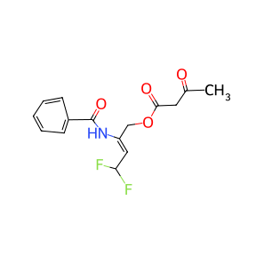 CC(=O)CC(=O)OC/C(=C/C(F)F)NC(=O)c1ccccc1